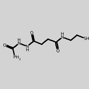 O=C(P)NNC(=O)CCC(=O)NCCS